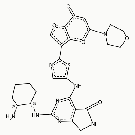 N[C@@H]1CCCC[C@@H]1Nc1nc2c(c(Nc3cnc(-c4coc5c(=O)cc(N6CCOCC6)oc45)s3)n1)C(=O)NC2